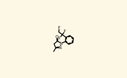 CC1=NN(c2ccccc2C(F)(F)CF)C(=O)C1